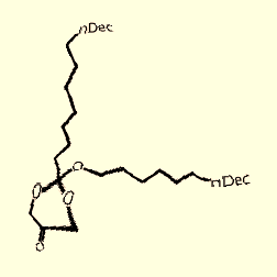 CCCCCCCCCCCCCCCCCC1(OCCCCCCCCCCCCCCCC)OCC(=O)CO1